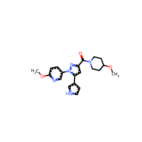 COc1ccc(-n2nc(C(=O)N3CCC(OC)CC3)cc2-c2cc[nH]c2)cn1